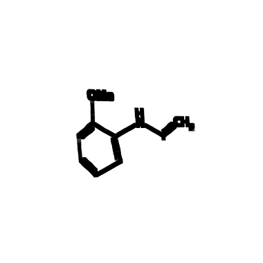 C=[C]Nc1ccccc1OC